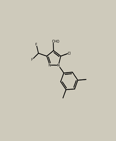 Cc1cc(C)cc(-n2nc(C(F)F)c(C=O)c2Cl)c1